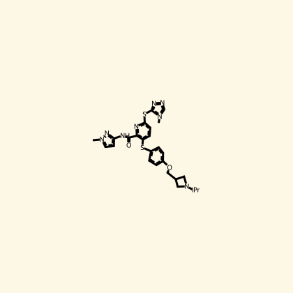 CC(C)N1CC(COc2ccc(Sc3ccc(Sc4nncn4C)nc3C(=O)Nc3ccn(C)n3)cc2)C1